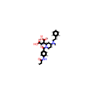 CCC(=O)Nc1ccc(C(=O)N2CCC(N(C)CCc3ccccc3)CC2/C(=C/C(=O)O)C(=O)O)cc1